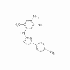 Cc1cc(N)c(N)cc1Nc1nc(-c2ccc(C#N)cc2)cs1